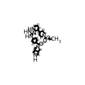 CCOC(=O)N1CC=C(c2ccc[nH]/c2=N\C(=N)Nc2ccc(C(=O)N3CC4CNCC4C3)cc2)CC1